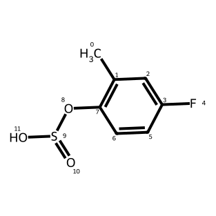 Cc1cc(F)ccc1OS(=O)O